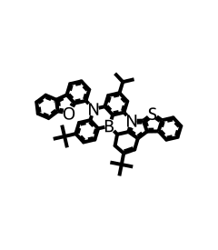 CC(C)c1cc2c3c(c1)-n1c4c(c5c6ccccc6sc51)C=C(C(C)(C)C)CC4B3c1ccc(C(C)(C)C)cc1N2c1cccc2c1oc1ccccc12